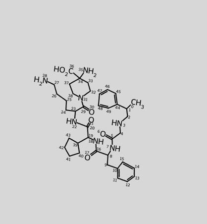 CC(CNCC(=O)NC(Cc1ccccc1)C(=O)NC(C(=O)NC(CCCCN)C(=O)N1CCC(N)(C(=O)O)CC1)C1CCCC1)c1ccccc1